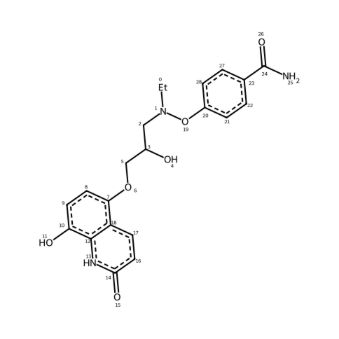 CCN(CC(O)COc1ccc(O)c2[nH]c(=O)ccc12)Oc1ccc(C(N)=O)cc1